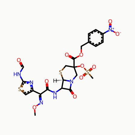 CON=C(C(=O)NC1C(=O)N2CC(OS(C)(=O)=O)(C(=O)OCc3ccc([N+](=O)[O-])cc3)CS[C@H]12)c1csc(NC=O)n1